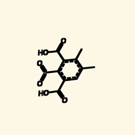 Cc1cc(C(=O)O)c(I(=O)=O)c(C(=O)O)c1C